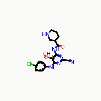 COc1c(NC(=O)C2CCCNC2)nc(C#N)nc1Nc1ccc(Cl)cc1